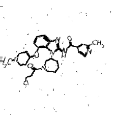 Cc1cc(C(=O)Nc2nc3cccc(OC4CCN(C)CC4)c3n2[C@@H]2CCCCN(C(=O)CCCl)C2)ccn1